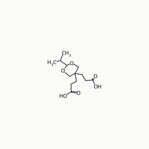 CC(C)C1OCC(CCC(=O)O)(CCC(=O)O)CO1